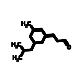 CC1=CC(=CCC=O)CC(CC(C)C)C1